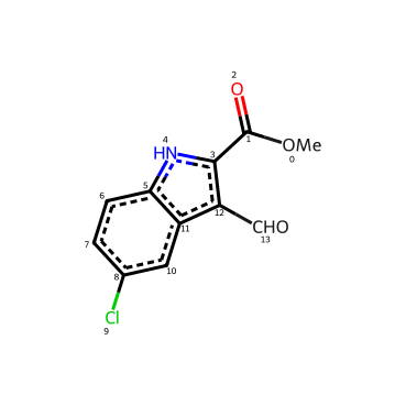 COC(=O)c1[nH]c2ccc(Cl)cc2c1C=O